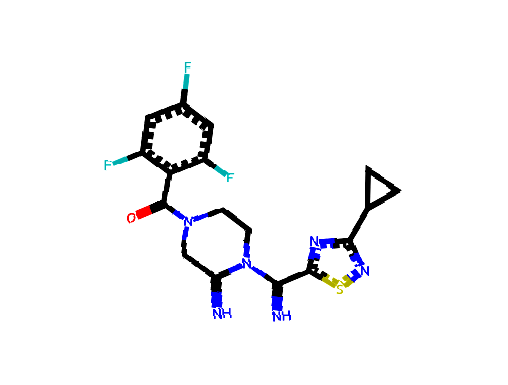 N=C1CN(C(=O)c2c(F)cc(F)cc2F)CCN1C(=N)c1nc(C2CC2)ns1